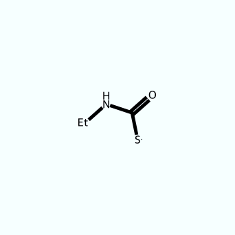 CCNC(=O)[S]